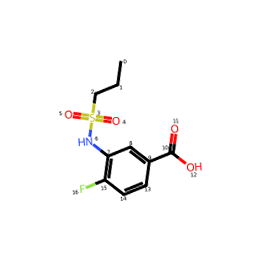 CCCS(=O)(=O)Nc1cc(C(=O)O)ccc1F